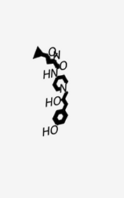 O=C(NC1CCN(C[C@H](O)Cc2ccc(O)cc2)CC1)c1cc(C2CC2)on1